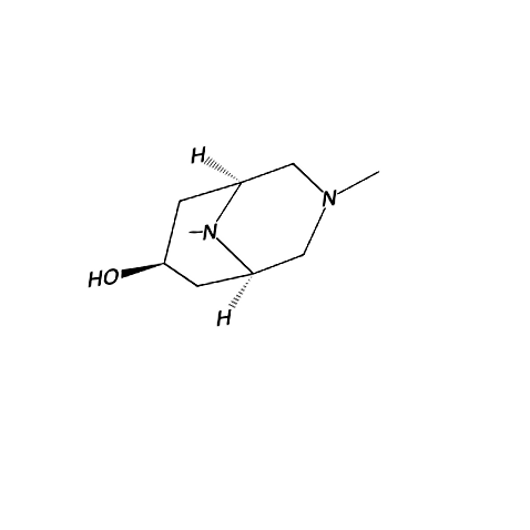 CN1C[C@H]2C[C@@H](O)C[C@@H](C1)N2C